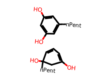 CCCCCC1(O)C=CC=C(O)C1.CCCCCc1cc(O)cc(O)c1